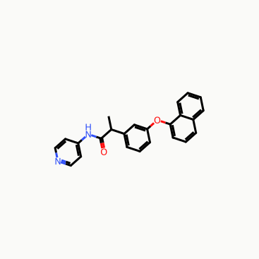 CC(C(=O)Nc1ccncc1)c1cccc(Oc2cccc3ccccc23)c1